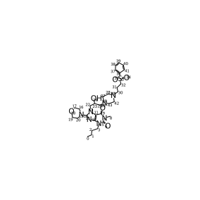 CCCCn1c(=O)n(C)c(=O)c2c1nc(N1CCOCC1)n2CC(O)CN1CCN(CCCS(=O)(=O)c2ccccc2)CC1